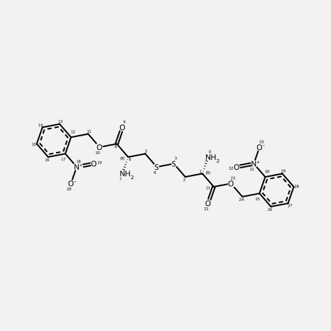 N[C@@H](CSSC[C@H](N)C(=O)OCc1ccccc1[N+](=O)[O-])C(=O)OCc1ccccc1[N+](=O)[O-]